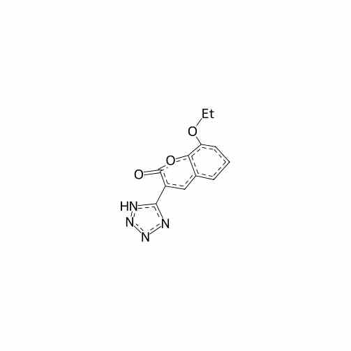 CCOc1cccc2cc(-c3nnn[nH]3)c(=O)oc12